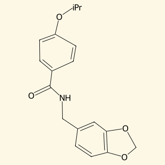 CC(C)Oc1ccc(C(=O)NCc2ccc3c(c2)OCO3)cc1